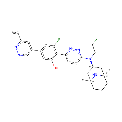 COc1cc(-c2cc(O)c(-c3ccc(N(CCF)[C@@H]4C[C@]5(C)CCC[C@](C)(C4)N5)nn3)c(F)c2)cnn1